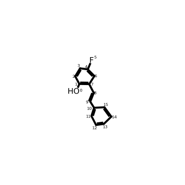 Oc1ccc(F)cc1C=Cc1ccccc1